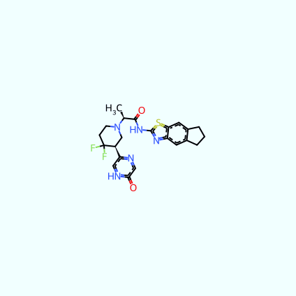 C[C@@H](C(=O)Nc1nc2cc3c(cc2s1)CCC3)N1CCC(F)(F)[C@H](c2c[nH]c(=O)cn2)C1